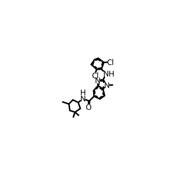 CC1CC(NC(=O)c2ccc3c(c2)nc(Nc2c(Cl)cccc2Cl)n3C)CC(C)(C)C1